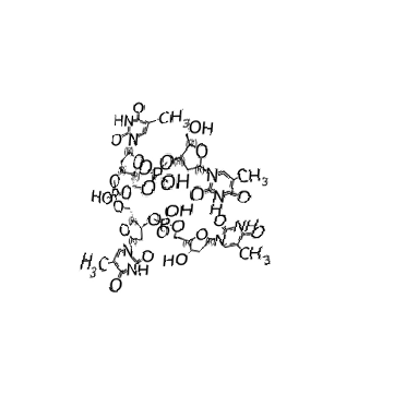 Cc1cn([C@H]2CC(O)[C@@H](COP(=O)(O)OC3C[C@H](n4cc(C)c(=O)[nH]c4=O)O[C@@H]3COP(=O)(O)O[C@@H]3C[C@H](n4cc(C)c(=O)[nH]c4=O)O[C@@H]3COP(=O)(O)O[C@@H]3C[C@H](n4cc(C)c(=O)[nH]c4=O)O[C@@H]3CO)O2)c(=O)[nH]c1=O